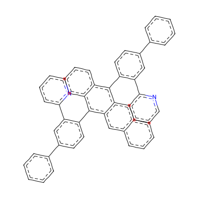 c1ccc(-c2ccc(-c3c4ccccc4c(-c4ccc(-c5ccccc5)cc4-c4ccccn4)c4cc5ccccc5cc34)c(-c3ccccn3)c2)cc1